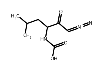 CC(C)CC(NC(=O)O)C(=O)C=[N+]=[N-]